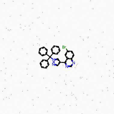 Brc1ccc2ncnc(-c3cnn(C(c4ccccc4)(c4ccccc4)c4ccccc4)c3)c2c1